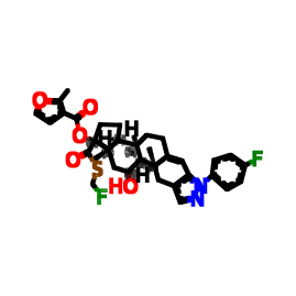 Cc1occc1C(=O)O[C@]1(C(=O)SCF)CC[C@H]2[C@@H]3CCC4=Cc5c(cnn5-c5ccc(F)cc5)C[C@]4(C)[C@H]3[C@@H](O)C[C@@]21C